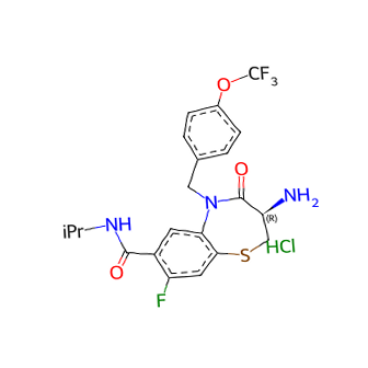 CC(C)NC(=O)c1cc2c(cc1F)SC[C@H](N)C(=O)N2Cc1ccc(OC(F)(F)F)cc1.Cl